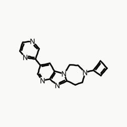 C1=CC(N2CCc3nc4ncc(-c5cnccn5)cc4n3CC2)=C1